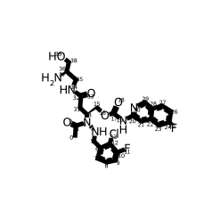 CC(=O)N(NCc1cccc(F)c1Cl)[C@H](COC(=O)Nc1cc2cc(F)ccc2cn1)CC(=O)NC[C@@H](N)CO